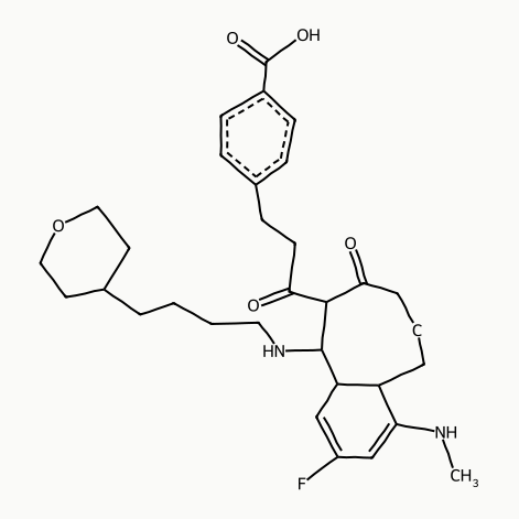 CNC1=CC(F)=CC2C1CCCC(=O)C(C(=O)CCc1ccc(C(=O)O)cc1)C2NCCCCC1CCOCC1